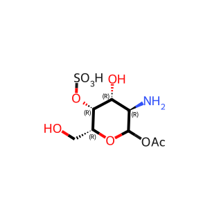 CC(=O)OC1O[C@H](CO)[C@H](OS(=O)(=O)O)[C@H](O)[C@H]1N